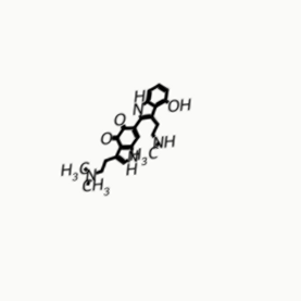 CNCCc1c(C2=Cc3[nH]cc(CCN(C)C)c3C(=O)C2=O)[nH]c2cccc(O)c12